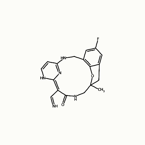 CC12CNC(=O)/C(C=N)=C3\N=C(C=CN3)NCc3cc(F)cc(c3O1)C2